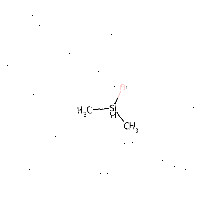 [B][SiH](C)C